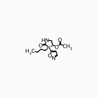 CCCC[N+]1(c2ccno2)C(=O)NCC1OC(C)=O